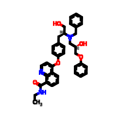 CCNC(=O)c1cccc2c(Oc3ccc(C[C@@H](CO)N(Cc4ccccc4)C[C@H](O)COc4ccccc4)cc3)ccnc12